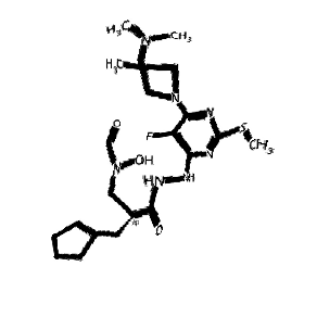 CSc1nc(NNC(=O)[C@@H](CC2CCCC2)CN(O)C=O)c(F)c(N2CC(C)(N(C)C)C2)n1